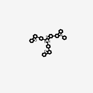 c1ccc(-n2c3ccccc3c3cc(-c4ccc5sc6c(-c7ccc(-c8cccc9c8oc8ccccc89)cc7)nc(-c7ccc(-c8cccc9c8oc8ccccc89)cc7)nc6c5c4)ccc32)cc1